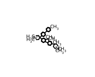 Cc1ccc(-c2ccc(C3(c4ccc5c(c4)C(C)(C)c4cc(C6(C)CC[N+](C)(C)CC6)ccc4-5)CC[N+](C)(C)CC3)cc2)cc1